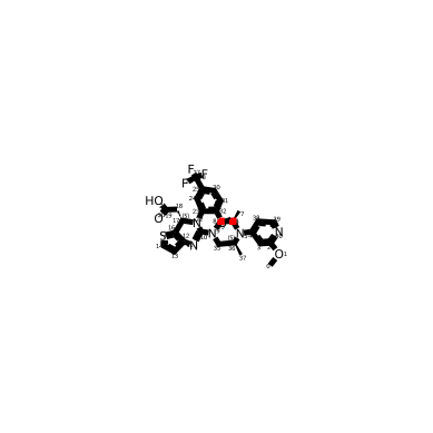 COc1cc(N2[C@H](C)CN(C3=Nc4ccsc4[C@H](CC(=O)O)N3c3cc(C(F)(F)F)ccc3OC)C[C@@H]2C)ccn1